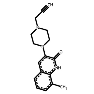 C#CCN1CCN(c2cc3cccc(C)c3[nH]c2=O)CC1